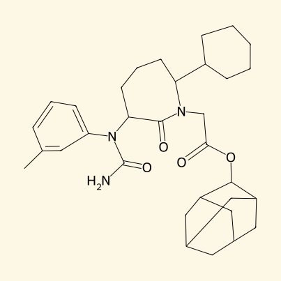 Cc1cccc(N(C(N)=O)C2CCCC(C3CCCCC3)N(CC(=O)OC3C4CC5CC(C4)CC3C5)C2=O)c1